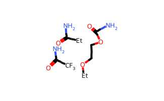 CCC(N)=O.CCOCCOC(N)=O.NC(=O)C(F)(F)F